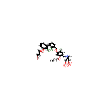 CCCOc1cc(OCc2cccc(-c3cccc(OCCCBr)c3Cl)c2Cl)c(Cl)cc1CNC(C)(CO)CO